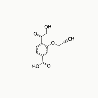 C#CCOc1cc(C(=O)O)ccc1C(=O)CO